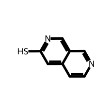 Sc1cc2ccncc2cn1